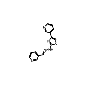 C(=N\Nc1nc(-c2cccnc2)cs1)/c1cccnc1